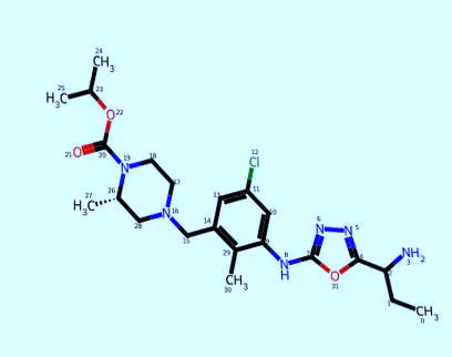 CCC(N)c1nnc(Nc2cc(Cl)cc(CN3CCN(C(=O)OC(C)C)[C@@H](C)C3)c2C)o1